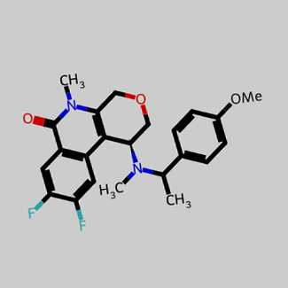 COc1ccc(C(C)N(C)[C@@H]2COCc3c2c2cc(F)c(F)cc2c(=O)n3C)cc1